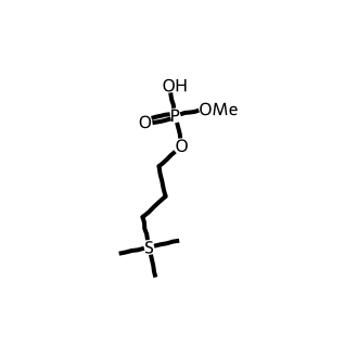 COP(=O)(O)OCCCS(C)(C)C